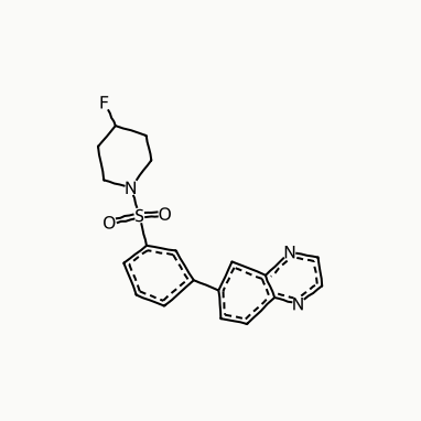 O=S(=O)(c1cccc(-c2ccc3nccnc3c2)c1)N1CCC(F)CC1